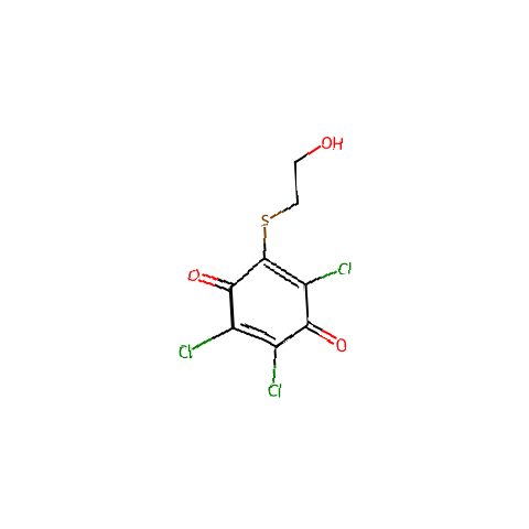 O=C1C(Cl)=C(Cl)C(=O)C(SCCO)=C1Cl